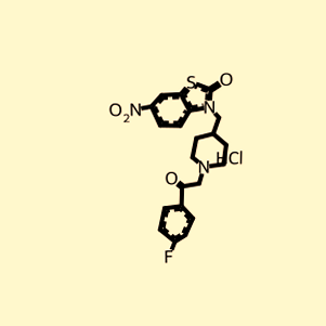 Cl.O=C(CN1CCC(Cn2c(=O)sc3cc([N+](=O)[O-])ccc32)CC1)c1ccc(F)cc1